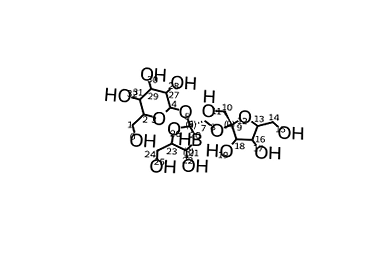 OCC1OC(O[C@@]2(CO[C@]3(CO)OC(CO)C(O)C3O)B[C@@H](O)C(CO)O2)C(O)C(O)C1O